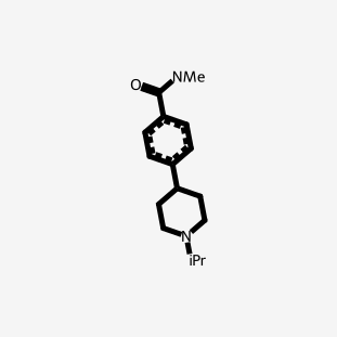 CNC(=O)c1ccc(C2CCN(C(C)C)CC2)cc1